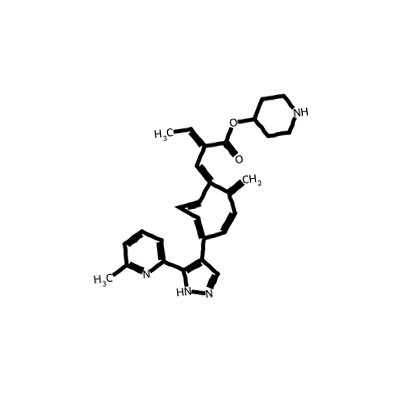 C=C1\C=C/C(c2cn[nH]c2-c2cccc(C)n2)=C/C=C/C1=C/C(=C\C)C(=O)OC1CCNCC1